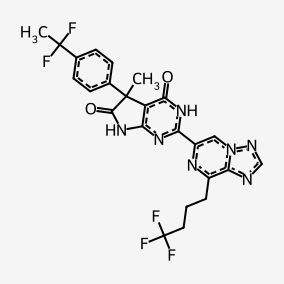 CC(F)(F)c1ccc(C2(C)C(=O)Nc3nc(-c4cn5ncnc5c(CCCC(F)(F)F)n4)[nH]c(=O)c32)cc1